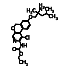 CCOC(=O)Nc1ncc2c(c1Cl)-c1ccc(OCC(C)(N)CC(C)C)cc1CO2